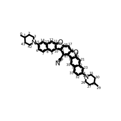 CC1CCN(c2ccc3cc4c(cc3c2)oc2cc3oc5cc6cc(N7CCC(C)CC7)ccc6cc5c3c(C#N)c24)CC1